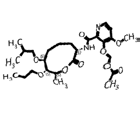 CCCO[C@H]1[C@H](C)OC(=O)[C@@H](NC(=O)c2nccc(OC)c2OCOC(C)=O)CCC[C@@H]1OCC(C)C